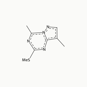 CSc1nc(C)n2ncc(C)c2n1